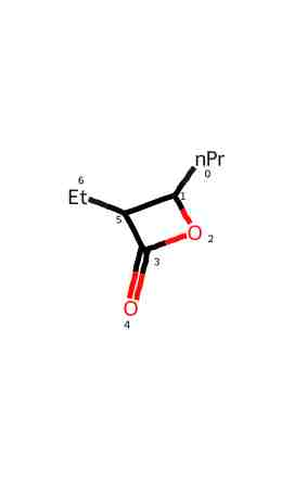 CCCC1OC(=O)C1CC